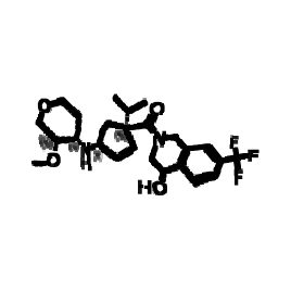 CO[C@@H]1COCC[C@@H]1N[C@@H]1CC[C@@](C(=O)N2Cc3cc(C(F)(F)F)ccc3C(O)C2)(C(C)C)C1